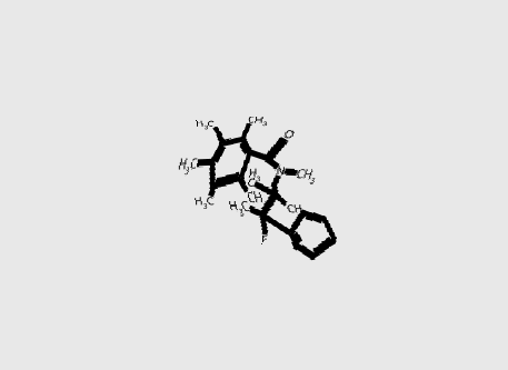 Cc1c(C)c(C)c(C(=O)N(C)C(C)(C)C(C)(F)c2ccccc2)c(C)c1C